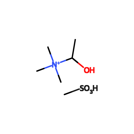 CC(O)[N+](C)(C)C.CS(=O)(=O)O